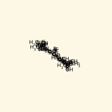 COC(=O)N[C@H](C(=O)N1[C@H](c2nc(-c3ccc(-c4ccc(C(=O)Nc5ccc(N6CCN(C(=O)[C@]7(C)C[C@@H](O)CN7C(=O)OC(C)(C)C)C[C@H]6C)nc5)cc4OC(F)(F)F)cc3)c[nH]2)C[C@@H]2CCCC[C@@H]21)C(C)C